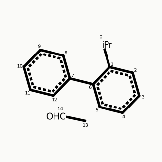 CC(C)c1ccccc1-c1ccccc1.CC=O